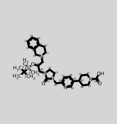 CC(C)(C)[Si](C)(C)OC(CN1CCc2ccccc2C1)CN1CCN(Cc2ccc(C3CCN(C(=O)O)CC3)cn2)C1=O